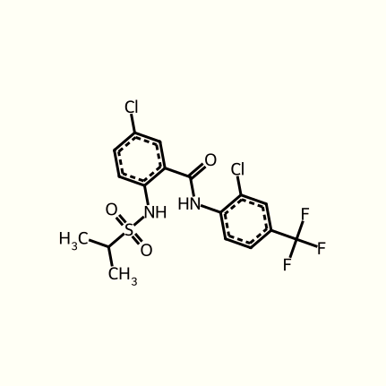 CC(C)S(=O)(=O)Nc1ccc(Cl)cc1C(=O)Nc1ccc(C(F)(F)F)cc1Cl